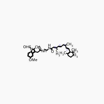 COc1ccc2c(c1)c(CC(=O)NCCNC(=O)/C=C(C)/C=C/C=C(C)\C=C\C1=C(C)CCCC1(C)C)c(C)n2C=O